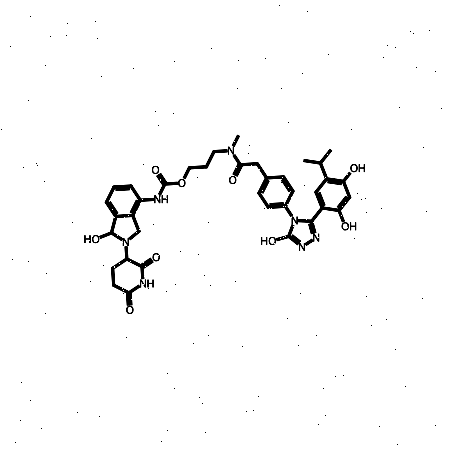 CC(C)c1cc(-c2nnc(O)n2-c2ccc(CC(=O)N(C)CCCOC(=O)Nc3cccc4c3CN(C3CCC(=O)NC3=O)C4O)cc2)c(O)cc1O